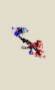 COC(=O)C(CCCCN)N(CCN(CC(O)C(O)C(O)C(O)CO)CC(O)C(O)C(O)C(O)CO)C(=O)CCc1ccc(-c2ccc(CCCCNC(=N)NC(=O)c3nc(Cl)c(N)nc3N)cc2)cc1